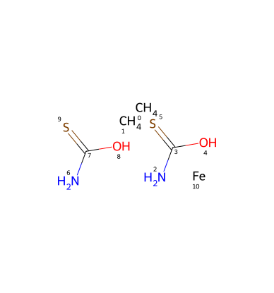 C.C.NC(O)=S.NC(O)=S.[Fe]